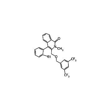 CCc1ccccc1-c1c(COCc2cc(C(F)(F)F)cc(C(F)(F)F)c2)n(C)c(=O)c2ccccc12